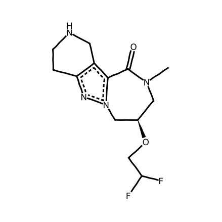 CN1C[C@@H](OCC(F)F)Cn2nc3c(c2C1=O)CNCC3